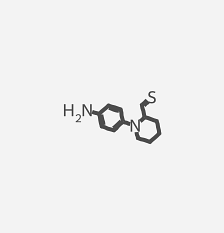 Nc1ccc(N2CCCCC2C=S)cc1